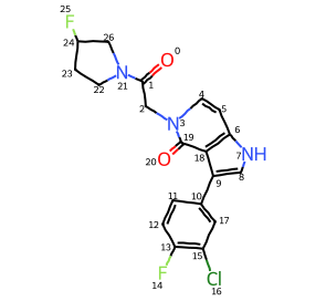 O=C(Cn1ccc2[nH]cc(-c3ccc(F)c(Cl)c3)c2c1=O)N1CCC(F)C1